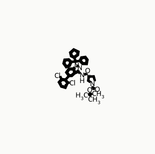 CC(C)(C)OC(=O)N1CC[C@@H](C(=O)Nc2nn(C(c3ccccc3)(c3ccccc3)c3ccccc3)c3ccc(-c4c(Cl)cccc4Cl)cc23)C1